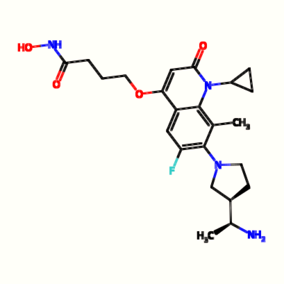 Cc1c(N2CC[C@@H]([C@H](C)N)C2)c(F)cc2c(OCCCC(=O)NO)cc(=O)n(C3CC3)c12